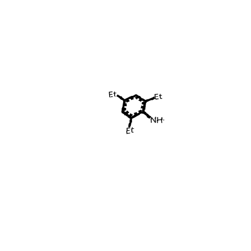 CCc1cc(CC)c([NH])c(CC)c1